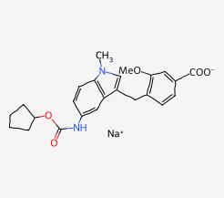 COc1cc(C(=O)[O-])ccc1Cc1cn(C)c2ccc(NC(=O)OC3CCCC3)cc12.[Na+]